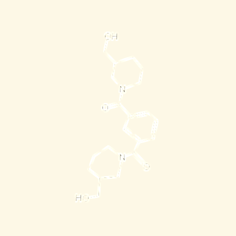 O=C(c1cccc(C(=O)N2CCCC(CO)C2)c1)N1CCCC(CO)C1